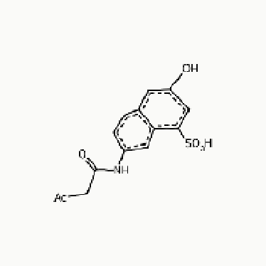 CC(=O)CC(=O)Nc1ccc2cc(O)cc(S(=O)(=O)O)c2c1